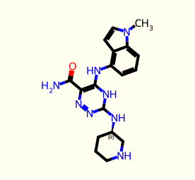 Cn1ccc2c(NC3=C(C(N)=O)N=NC(N[C@@H]4CCCNC4)N3)cccc21